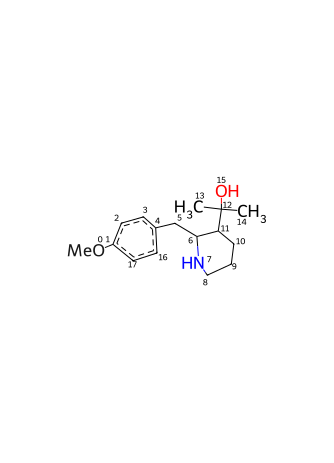 COc1ccc(CC2NCCCC2C(C)(C)O)cc1